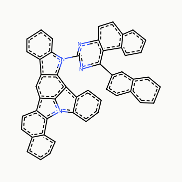 c1ccc2cc(-c3nc(-n4c5ccccc5c5cc6c7ccc8ccccc8c7n7c8ccccc8c(c54)c67)nc4ccc5ccccc5c34)ccc2c1